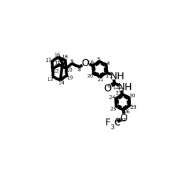 O=C(Nc1ccc(OCCC23CC4CC(CC(C4)C2)C3)cc1)Nc1ccc(OC(F)(F)F)cc1